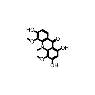 COc1c(O)ccc2c(=O)c3c(O)cc(O)c(OC)c3n(C)c12